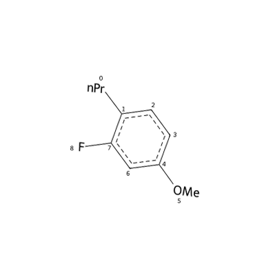 CCCc1ccc(OC)cc1F